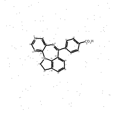 O=C(O)c1ccc(C2=Nc3cncnc3N3CCc4cccc2c43)cc1